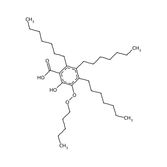 CCCCCCCc1c(CCCCCCC)c(OOCCCCC)c(O)c(C(=O)O)c1CCCCCCC